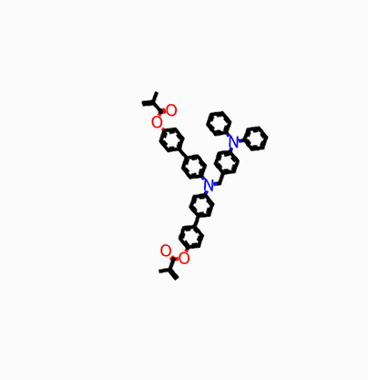 C=C(C)C(=O)Oc1ccc(-c2ccc(N(Cc3ccc(N(c4ccccc4)c4ccccc4)cc3)c3ccc(-c4ccc(OC(=O)C(=C)C)cc4)cc3)cc2)cc1